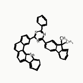 CC1(C)c2ccccc2-c2ccc(-c3nc(-c4ccccc4)nc(-c4ccc5ccc6ccc7c8ccccc8[se]c7c6c5c4)n3)cc21